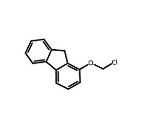 ClCOc1cccc2c1Cc1ccccc1-2